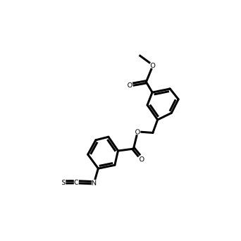 COC(=O)c1cccc(COC(=O)c2cccc(N=C=S)c2)c1